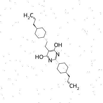 C=CC[C@H]1CC[C@H](CCc2c(O)nc([C@H]3CC[C@H](CC=C)CC3)nc2O)CC1